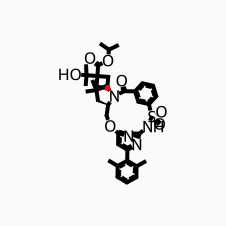 Cc1cccc(C)c1-c1cc2nc(n1)NS(=O)(=O)c1cccc(c1)C(=O)N(C1CC(C(=O)OC(C)C)(C(C)(C)O)C1)[C@H](CC(C)(C)C)CO2